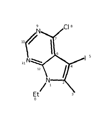 CCn1c(C)c(I)c2c(Cl)ncnc21